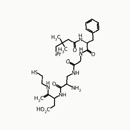 C=C(NCCS)C(CC(=O)O)NC(=O)C(N)CNC(=O)CNC(=O)C(Cc1ccccc1)NC(=O)CC(C)(C)CC(C)C